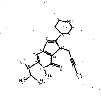 CC#CCn1c(N2CCNCC2)nc2nc(N(C)C(C)C)n(C)c(=O)c21